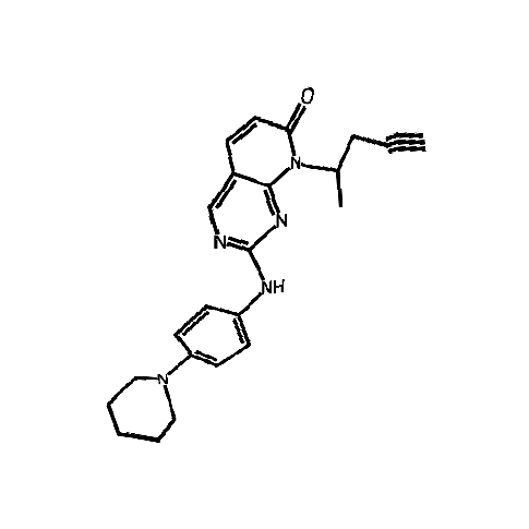 C#CCC(C)n1c(=O)ccc2cnc(Nc3ccc(N4CCCCC4)cc3)nc21